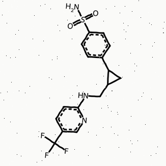 NS(=O)(=O)c1ccc(C2CC2CNc2ccc(C(F)(F)F)cn2)cc1